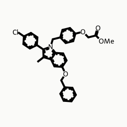 COC(=O)COc1ccc(Cn2c(-c3ccc(Cl)cc3)c(C)c3cc(OCc4ccccc4)ccc32)cc1